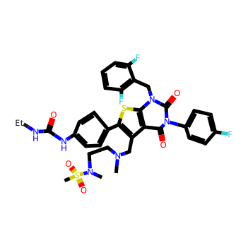 CCNC(=O)Nc1ccc(-c2sc3c(c2CN(C)CCN(C)S(C)(=O)=O)c(=O)n(-c2ccc(F)cc2)c(=O)n3Cc2c(F)cccc2F)cc1